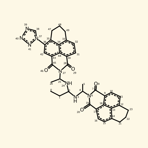 CCC(NC(C)N1C(=O)c2ccc3c4c(ccc(c24)C1=O)CCC3)NC(C)N1C(=O)c2ccc3c4c(c(-n5cnnn5)cc(c24)C1=O)CCC3